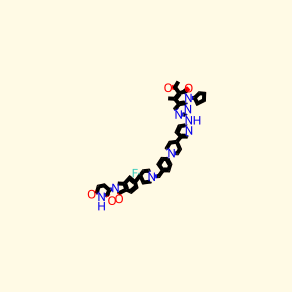 CC(=O)c1c(C)c2cnc(Nc3ccc(C4CCN(c5ccc(CN6CCC(F)(c7ccc8c(c7)CN(C7CCC(=O)NC7=O)C8=O)CC6)cc5)CC4)cn3)nc2n(C2CCCC2)c1=O